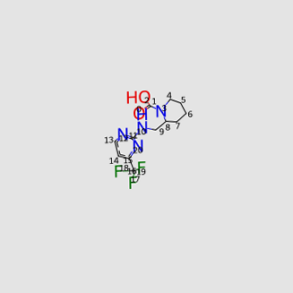 O=C(O)N1CCCCC1CNc1nccc(C(F)(F)F)n1